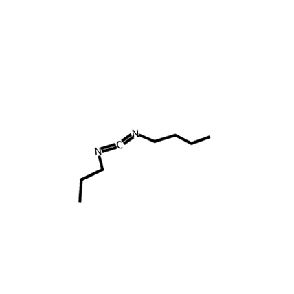 CCCCN=C=NCCC